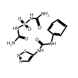 NC(=O)NS(=O)(=O)NC(N)=O.O=C(Nc1ccccc1)Nc1cnns1